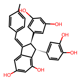 Cc1ccc(/C=C2/c3cc(O)cc(O)c3[C@@H](c3ccc(O)c(O)c3)[C@@H]2c2cc(O)cc(O)c2)cc1